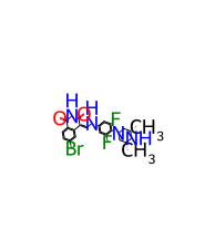 C[C@@H]1CN(c2c(F)cc(N/C=C3\C(=O)NC(=O)c4ccc(Br)cc43)cc2F)C[C@H](C)N1